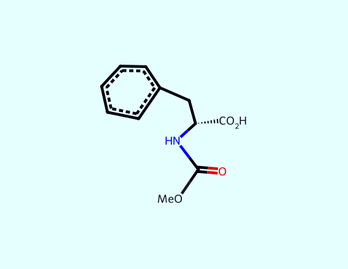 COC(=O)N[C@H](Cc1ccccc1)C(=O)O